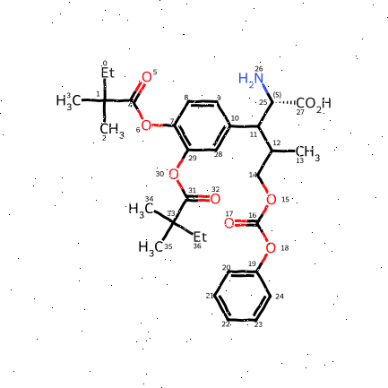 CCC(C)(C)C(=O)Oc1ccc(C(C(C)COC(=O)Oc2ccccc2)[C@H](N)C(=O)O)cc1OC(=O)C(C)(C)CC